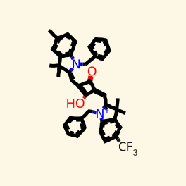 Cc1ccc2c(c1)C(C)(C)/C(=C/C1=C(O)C(=C\C3=[N+](Cc4ccccc4)c4ccc(C(F)(F)F)cc4C3(C)C)/C1=O)N2Cc1ccccc1